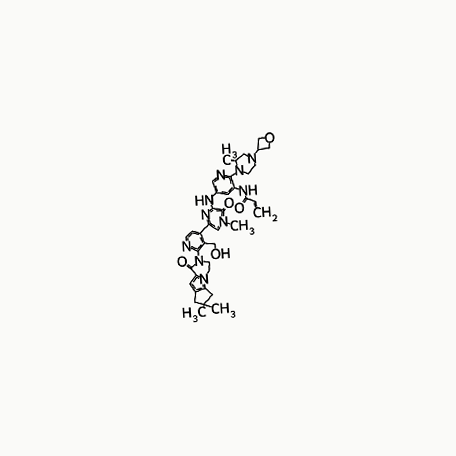 C=CC(=O)Nc1cc(Nc2nc(-c3ccnc(N4CCn5c(cc6c5CC(C)(C)C6)C4=O)c3CO)cn(C)c2=O)cnc1N1CCN(C2COC2)C[C@@H]1C